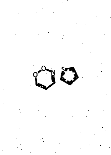 C1=COON=C1.c1ccsc1